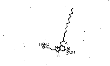 CCCCCCCCCCCCCCC(=S)Cc1cc(S(=O)(=O)O)cc2[nH]c(CCCS(=O)(=O)O)nc12